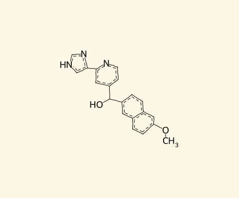 COc1ccc2cc(C(O)c3ccnc(-c4c[nH]cn4)c3)ccc2c1